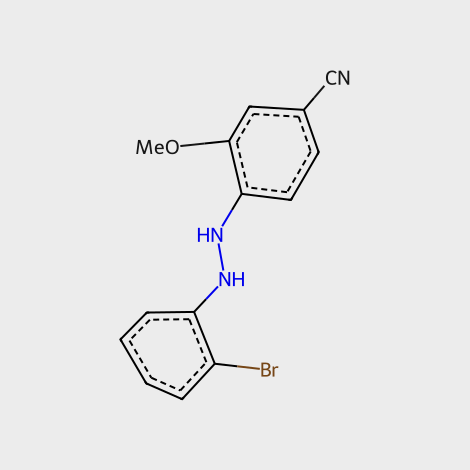 COc1cc(C#N)ccc1NNc1ccccc1Br